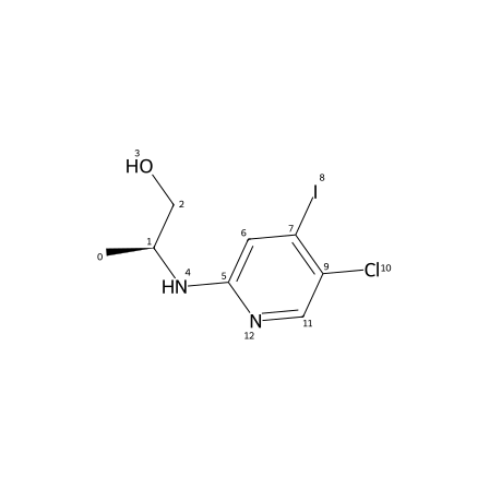 C[C@@H](CO)Nc1cc(I)c(Cl)cn1